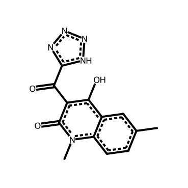 Cc1ccc2c(c1)c(O)c(C(=O)c1nnn[nH]1)c(=O)n2C